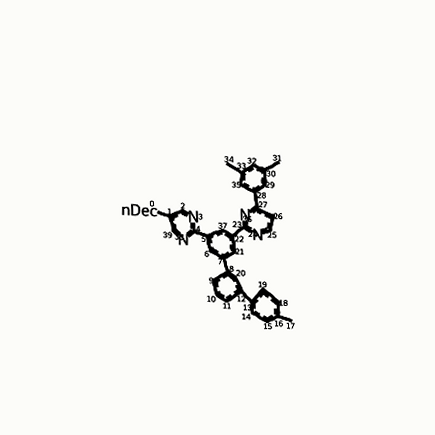 CCCCCCCCCCc1cnc(-c2cc(-c3cccc(-c4ccc(C)cc4)c3)cc(-c3nccc(-c4cc(C)cc(C)c4)n3)c2)nc1